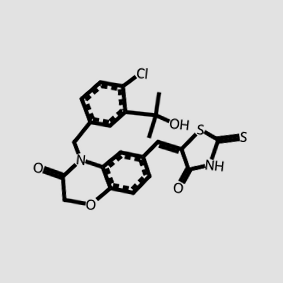 CC(C)(O)c1cc(CN2C(=O)COc3ccc(/C=C4/SC(=S)NC4=O)cc32)ccc1Cl